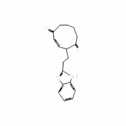 O=C1/C=C\C(CCc2nc3ccccc3[nH]2)C(=O)CCCC1